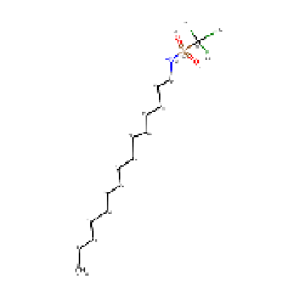 CCCCCCCCCCCCCCCNS(=O)(=O)C(F)(F)F